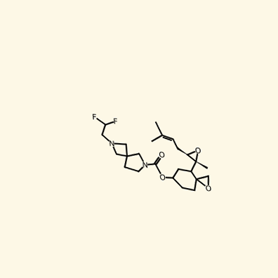 CC(C)=CC[C@H]1O[C@]1(C)C1CC(OC(=O)N2CCC3(CN(CC(F)F)C3)C2)CCC12CO2